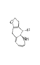 [CH2]CC1C2=C(CC3=CC=CNC31)OCC2